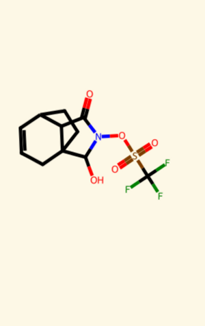 O=C1C2C3C=CCC2(CC3)C(O)N1OS(=O)(=O)C(F)(F)F